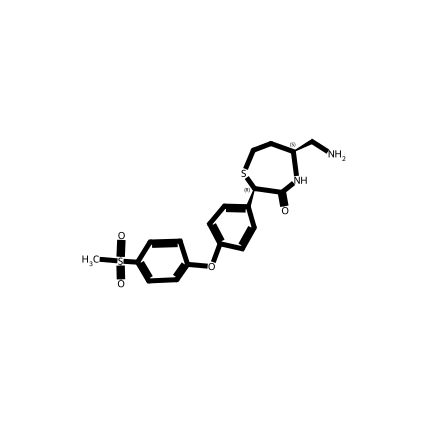 CS(=O)(=O)c1ccc(Oc2ccc([C@H]3SCC[C@@H](CN)NC3=O)cc2)cc1